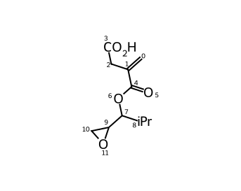 C=C(CC(=O)O)C(=O)OC(C(C)C)C1CO1